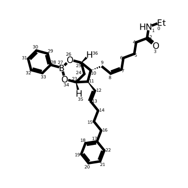 CCNC(=O)CCC/C=C\C[C@@H]1[C@@H](/C=C/[CH]CCc2ccccc2)[C@H]2C[C@@H]1OB(c1ccccc1)O2